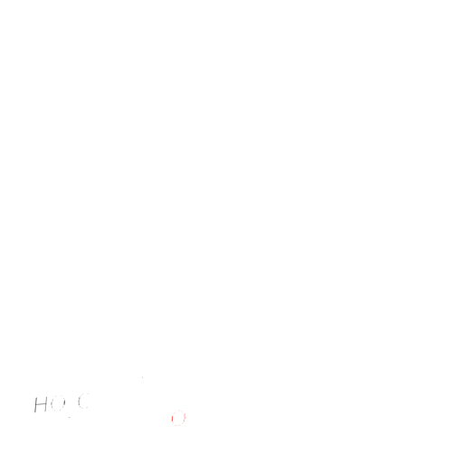 O=C(O)C(=O)c1cc(Cc2ccccc2)cc(-c2ccccc2)c1